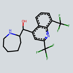 OC(c1cc(C(F)(F)F)nc2c(C(F)(F)F)cccc12)C1CCCCCN1